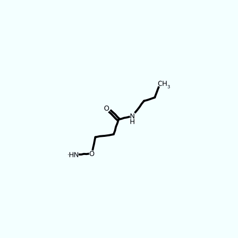 CCCNC(=O)CCO[NH]